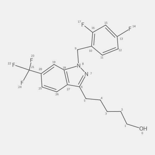 OCCCCCc1nn(Cc2ccc(F)cc2F)c2cc(C(F)(F)F)ccc12